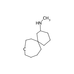 CNC1CCCC2(CCCCCCC2)C1